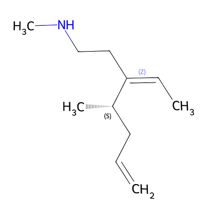 C=CC[C@H](C)/C(=C\C)CCNC